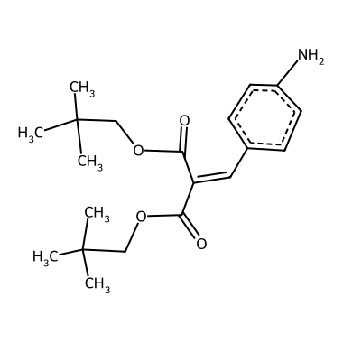 CC(C)(C)COC(=O)C(=Cc1ccc(N)cc1)C(=O)OCC(C)(C)C